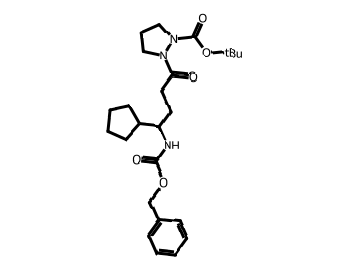 CC(C)(C)OC(=O)N1CCCN1C(=O)CCC(NC(=O)OCc1ccccc1)C1CCCC1